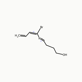 C=C/C=C(Br)\N=C\CCCO